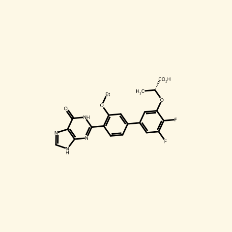 CCOc1cc(-c2cc(F)c(F)c(O[C@H](C)C(=O)O)c2)ccc1-c1nc2[nH]cnc2c(=O)[nH]1